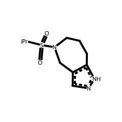 CC(C)S(=O)(=O)N1CCCc2[nH]n[c]c2C1